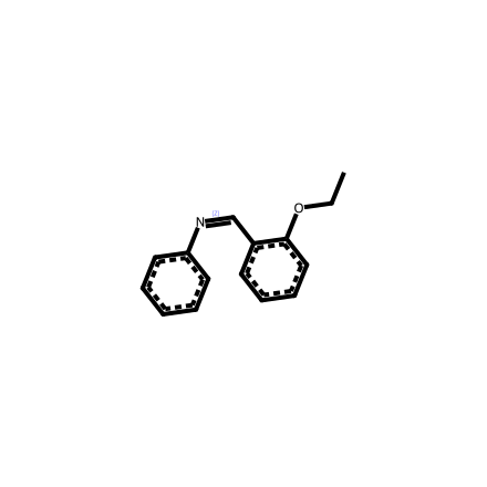 CCOc1ccccc1/C=N\c1ccccc1